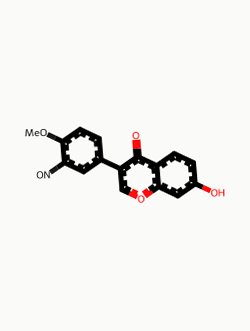 COc1ccc(-c2coc3cc(O)ccc3c2=O)cc1N=O